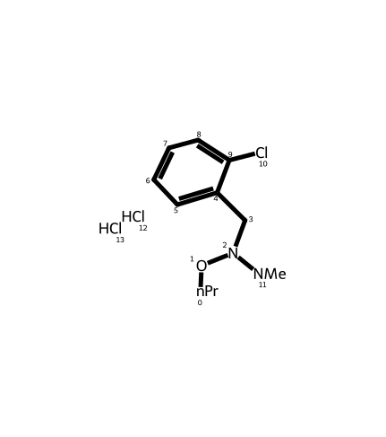 CCCON(Cc1ccccc1Cl)NC.Cl.Cl